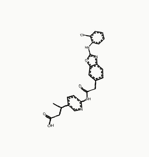 CC(CC(=O)O)c1ccc(NC(=O)Cc2ccc3nc(Nc4ccccc4Cl)oc3c2)nc1